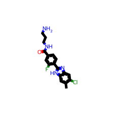 Cc1cc2[nH]c(-c3ccc(C(=O)NCCCN)cc3F)nc2cc1Cl